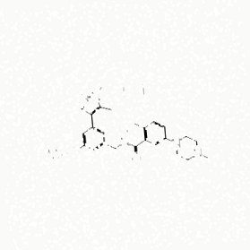 COc1cc(-c2cnn(C)c2C)cc([C@@H](C)NC(=O)c2cc(N3CCN(C)CC3)ccc2C)c1.Cl